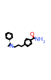 NC(=O)c1ccc(CCCN2C[C@@H]2c2ccccc2)cc1